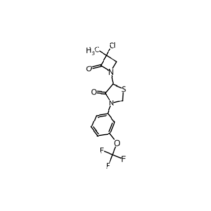 CC1(Cl)CN(C2SCN(c3cccc(OC(F)(F)F)c3)C2=O)C1=O